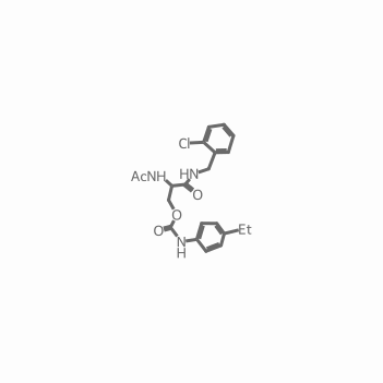 CCc1ccc(NC(=O)OCC(NC(C)=O)C(=O)NCc2ccccc2Cl)cc1